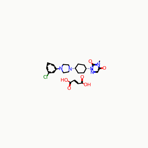 Cn1c(=O)cnn([C@H]2CC[C@@H](N3CCN(c4cccc(Cl)c4)CC3)CC2)c1=O.O=C(O)/C=C/C(=O)O